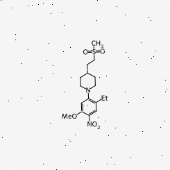 CCc1cc([N+](=O)[O-])c(OC)cc1N1CCC(CCS(C)(=O)=O)CC1